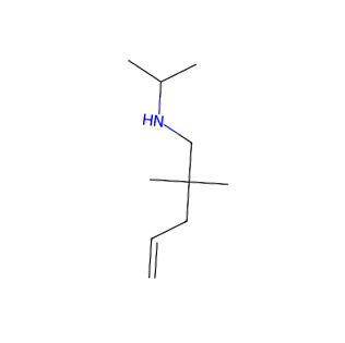 C=CCC(C)(C)CNC(C)C